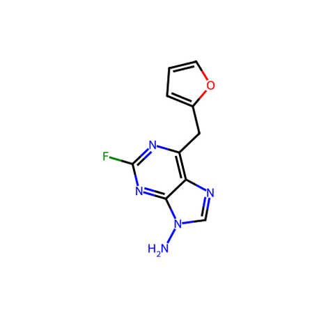 Nn1cnc2c(Cc3ccco3)nc(F)nc21